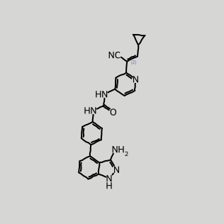 N#C/C(=C\C1CC1)c1cc(NC(=O)Nc2ccc(-c3cccc4[nH]nc(N)c34)cc2)ccn1